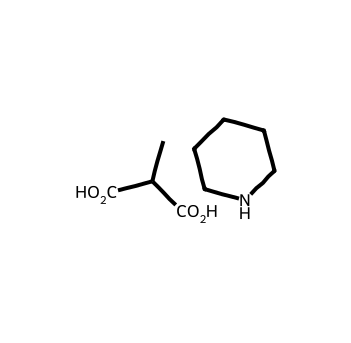 C1CCNCC1.CC(C(=O)O)C(=O)O